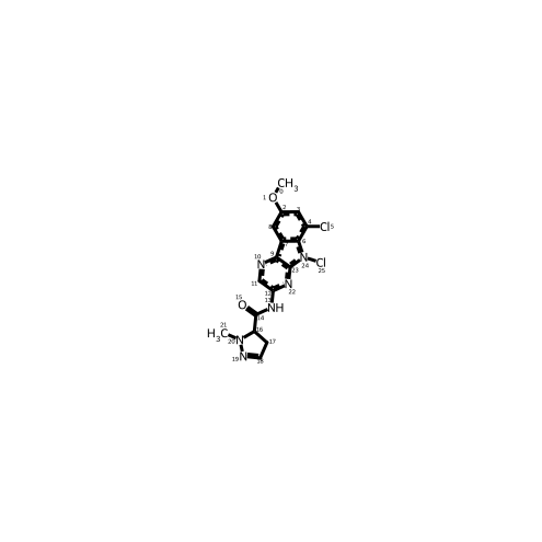 COc1cc(Cl)c2c(c1)c1ncc(NC(=O)C3CC=NN3C)nc1n2Cl